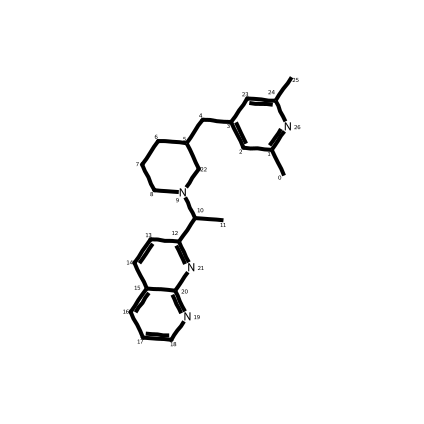 Cc1cc(CC2CCCN(C(C)c3ccc4cccnc4n3)C2)cc(C)n1